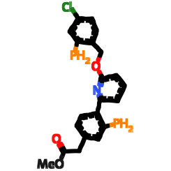 COC(=O)Cc1ccc(-c2cccc(OCc3ccc(Cl)cc3P)n2)c(P)c1